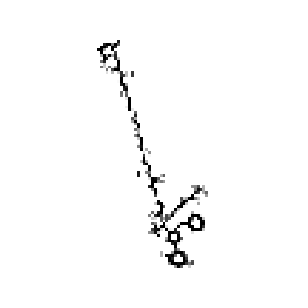 CC(C)(C)C(c1cc(-c2cc(F)ccc2F)cn1Cc1ccccc1)N(CCCOC(N)=O)C(=O)CSCCC(=O)NCCOCCOCCOCCOCCNC(=O)CN1C(=O)C=CC1=O